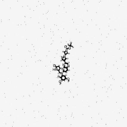 COc1cc(OC)c(F)c(N(CC2CCC(=O)N2)c2ccc3ncc(-c4cnn(C5CN(C(=O)OC(C)(C)C)C5)c4)nc3n2)c1